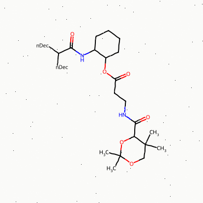 CCCCCCCCCCC(CCCCCCCCCC)C(=O)NC1CCCCC1OC(=O)CCNC(=O)C1OC(C)(C)OCC1(C)C